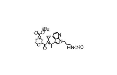 CC(c1cn(CCCNC=O)c2ncccc12)N(C(=O)C1CN(C(=O)OC(C)(C)C)CCO1)C1CC1